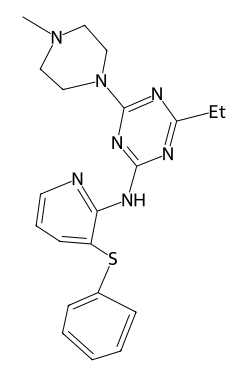 CCc1nc(Nc2ncccc2Sc2ccccc2)nc(N2CCN(C)CC2)n1